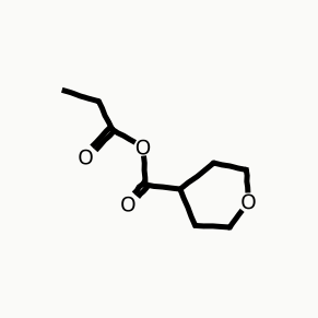 CCC(=O)OC(=O)C1CCOCC1